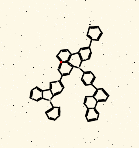 c1ccc(-c2ccc(N(c3ccc(-c4cccc5c4ccc4ccccc45)cc3)c3cccc(-c4ccc5c(c4)c4ccccc4n5-c4ccccc4)c3)c(-c3ccccc3)c2)cc1